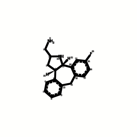 NCC1C[C@@H]2c3ccccc3Cc3ccc(F)cc3[C@H]2N1